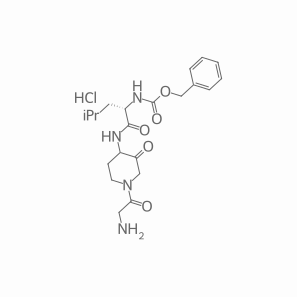 CC(C)C[C@H](NC(=O)OCc1ccccc1)C(=O)NC1CCN(C(=O)CN)CC1=O.Cl